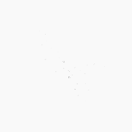 O=C(Nc1ccc(Oc2cccc(Cl)c2)cc1)N1CC(c2ccc(Cl)cc2)=C(c2ccc(Cl)cc2)N1